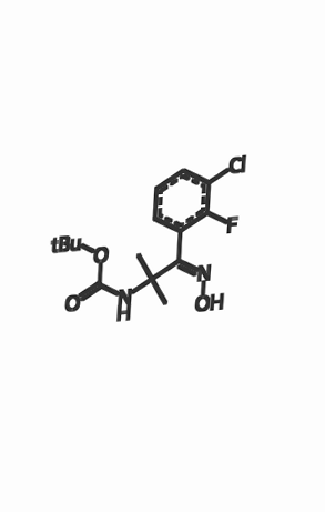 CC(C)(C)OC(=O)NC(C)(C)C(=NO)c1cccc(Cl)c1F